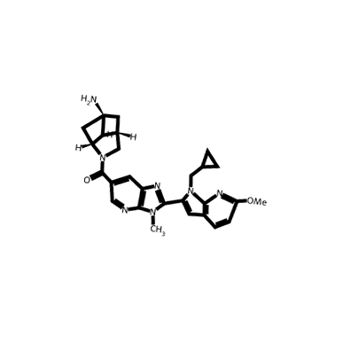 COc1ccc2cc(-c3nc4cc(C(=O)N5C[C@H]6C[C@@]7(N)C[C@@H]5[C@@H]67)cnc4n3C)n(CC3CC3)c2n1